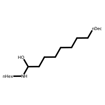 CCCCCCCCCCCCCCCCCC(O)NCCCCCC